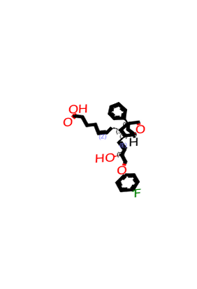 O=C(O)CCC/C=C\C[C@H]1[C@H](/C=C/[C@@H](O)COc2ccc(F)cc2)[C@@H]2C[C@@]1(c1ccccc1)CO2